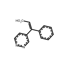 O=C(O)/C=C(/c1ccccc1)c1ccnnc1